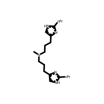 CCCc1nc(CCCN(C)CCCc2c[nH]c(CCC)n2)c[nH]1